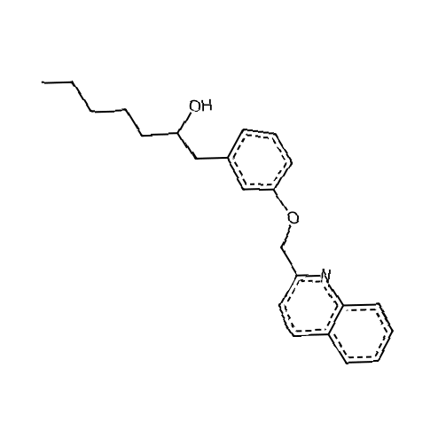 CCCCCC(O)Cc1cccc(OCc2ccc3ccccc3n2)c1